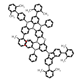 Cc1cccc(C)c1-c1ccc(N2c3ccc(-c4c(C)cccc4C)cc3B3c4cc5c(cc4N(c4ccccc4)c4cc(-c6c(C)cccc6C)cc2c43)Oc2cc(-n3c4ccc(-c6c(C)cccc6C)cc4c4cc(-c6c(C)cccc6C)ccc43)cc3c2B5c2ccccc2N3c2ccccc2)cc1